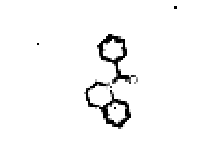 O=C(c1ccccc1)N1[C]CCc2ccccc21